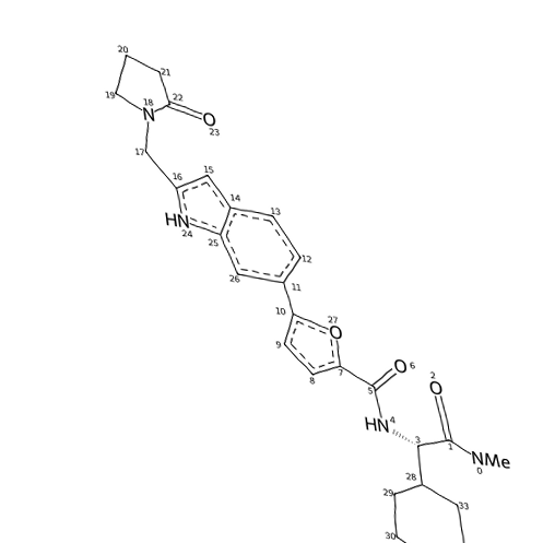 CNC(=O)[C@@H](NC(=O)c1ccc(-c2ccc3cc(CN4CCCC4=O)[nH]c3c2)o1)C1CCCCC1